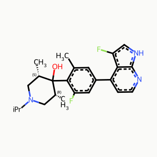 Cc1cc(-c2ccnc3[nH]cc(F)c23)cc(F)c1C1(O)[C@H](C)CN(C(C)C)C[C@@H]1C